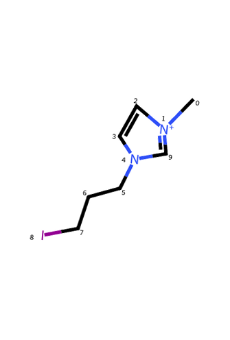 C[n+]1ccn(CCCI)c1